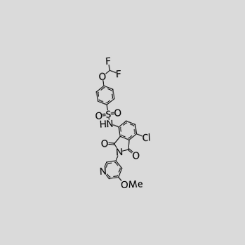 COc1cncc(N2C(=O)c3c(Cl)ccc(NS(=O)(=O)c4ccc(OC(F)F)cc4)c3C2=O)c1